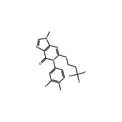 Cc1ccc(-n2c(SCCC(F)(F)F)nc3c(ncn3C)c2=O)cc1F